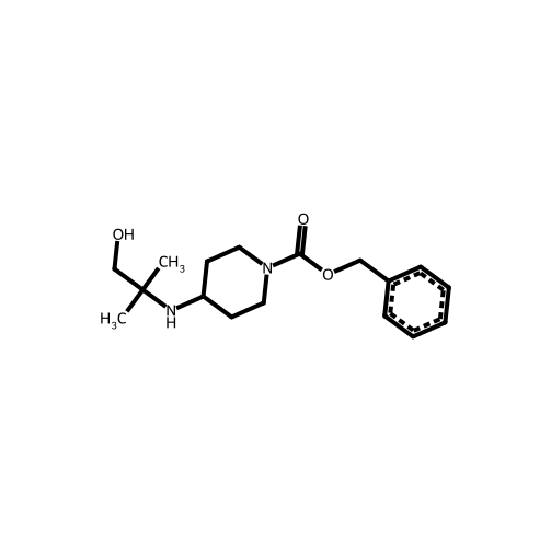 CC(C)(CO)NC1CCN(C(=O)OCc2ccccc2)CC1